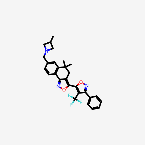 CC1CN(Cc2ccc3c(c2)C(C)(C)Cc2c-3noc2-c2onc(-c3ccccc3)c2C(F)(F)F)C1